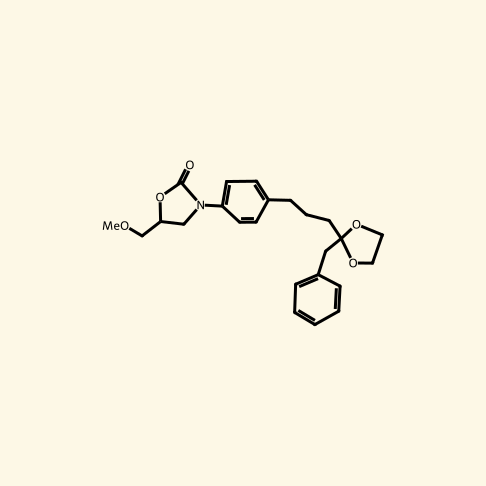 COCC1CN(c2ccc(CCCC3(Cc4ccccc4)OCCO3)cc2)C(=O)O1